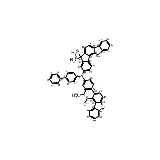 CCc1cc(N(c2ccc(-c3ccccc3)cc2)c2ccc3c(c2)C(C)(C)c2ccc4c(sc5ccccc54)c2-3)ccc1-c1ccc2oc3ccccc3c2c1CC